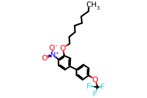 CCCCCCCCOc1cc(-c2ccc(OC(F)(F)F)cc2)ccc1[N+](=O)[O-]